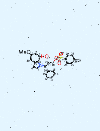 COc1ccc2c(ccn2[C@@H](c2ccccc2)[C@H](O)COS(=O)(=O)c2ccc(C)cc2)c1